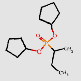 CCC(C)P(=O)(OC1CCCC1)OC1CCCC1